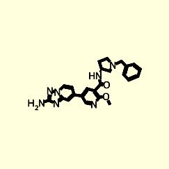 COc1ncc(-c2ccn3nc(N)nc3c2)cc1C(=O)N[C@H]1CCN(Cc2ccccc2)C1